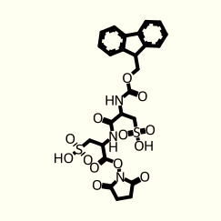 O=C(NC(CS(=O)(=O)O)C(=O)NC(CS(=O)(=O)O)C(=O)ON1C(=O)CCC1=O)OCC1c2ccccc2-c2ccccc21